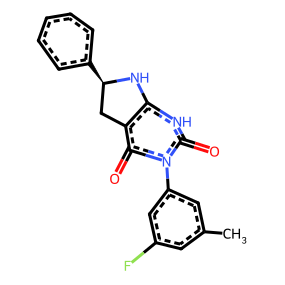 Cc1cc(F)cc(-n2c(=O)[nH]c3c(c2=O)C[C@@H](c2ccccc2)N3)c1